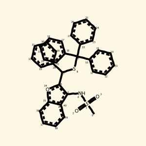 CS(=O)(=O)Nc1c(C(SC(c2ccccc2)(c2ccccc2)c2ccccc2)c2ccccc2)oc2ccccc12